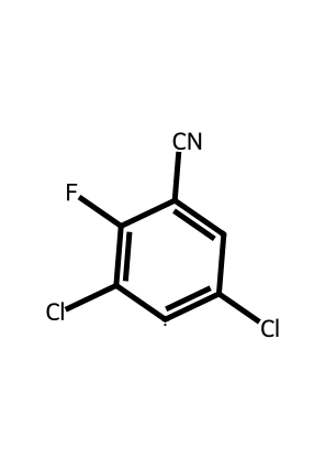 N#Cc1cc(Cl)[c]c(Cl)c1F